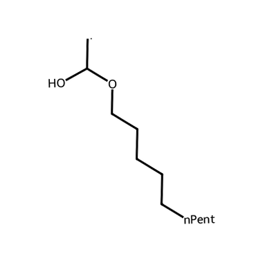 [CH2]C(O)OCCCCCCCCCC